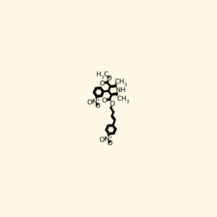 COC(=O)C1=C(C)NC(C)=C(C(=O)OCCC=Cc2ccc([N+](=O)[O-])cc2)C1c1cccc([N+](=O)[O-])c1